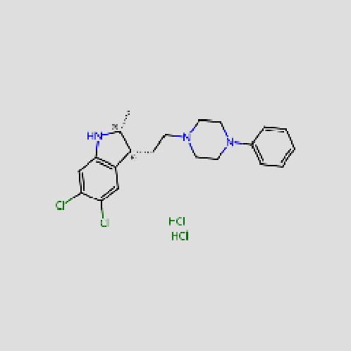 C[C@H]1Nc2cc(Cl)c(Cl)cc2[C@H]1CCN1CCN(c2ccccc2)CC1.Cl.Cl